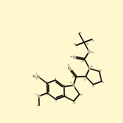 COc1cc2c(cc1N)N(C(=O)C1CCCN1C(=O)OC(C)(C)C)CC2